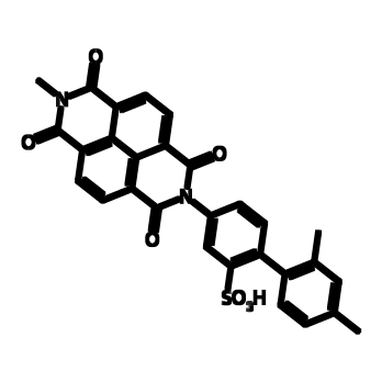 Cc1ccc(-c2ccc(N3C(=O)c4ccc5c6c(ccc(c46)C3=O)C(=O)N(C)C5=O)cc2S(=O)(=O)O)c(C)c1